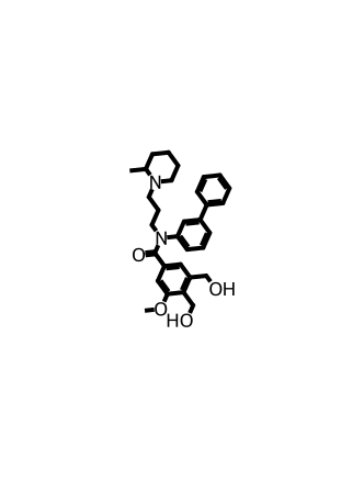 COc1cc(C(=O)N(CCCN2CCCCC2C)c2cccc(-c3ccccc3)c2)cc(CO)c1CO